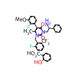 COc1cccc(-c2c(C)n(Cc3c(F)cccc3C(F)(F)F)c(=O)n(CC(N)c3ccccc3)c2=O)c1F.O=C(O)c1ccccc1O